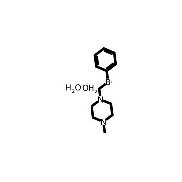 CN1CCN(C[B]c2ccccc2)CC1.O.O